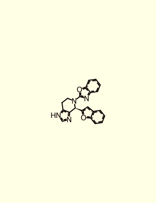 c1ccc2oc([C@H]3c4nc[nH]c4CCN3c3nc4ccccc4o3)cc2c1